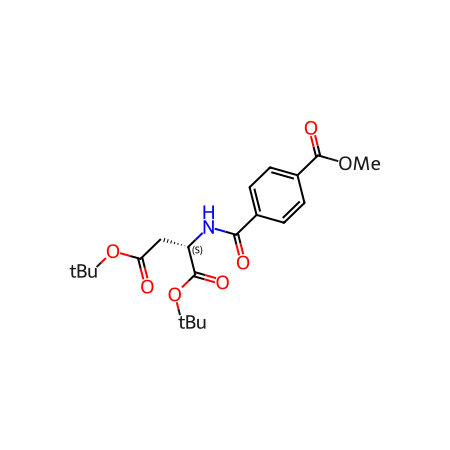 COC(=O)c1ccc(C(=O)N[C@@H](CC(=O)OC(C)(C)C)C(=O)OC(C)(C)C)cc1